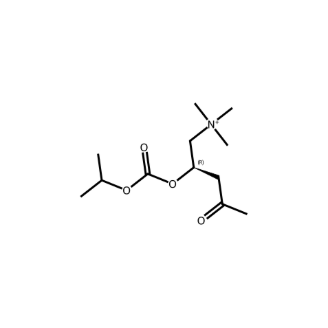 CC(=O)C[C@H](C[N+](C)(C)C)OC(=O)OC(C)C